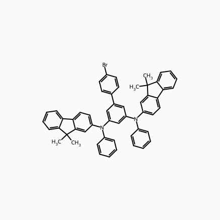 CC1(C)c2ccccc2-c2ccc(N(c3ccccc3)c3cc(-c4ccc(Br)cc4)cc(N(c4ccccc4)c4ccc5c(c4)C(C)(C)c4ccccc4-5)c3)cc21